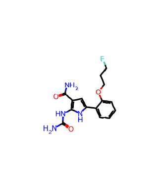 NC(=O)Nc1[nH]c(-c2ccccc2OCCCF)cc1C(N)=O